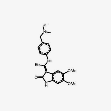 CCCN(C)Cc1ccc(NC(CC)=C2C(=O)Nc3cc(OC)c(OC)cc32)cc1